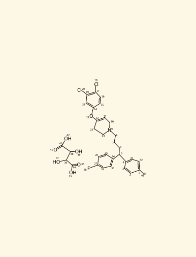 Fc1ccc(C(CCCN2CC=C(Oc3ccc(Cl)c(Cl)c3)CC2)c2ccc(F)cc2)cc1.O=C(O)C(O)C(O)C(=O)O